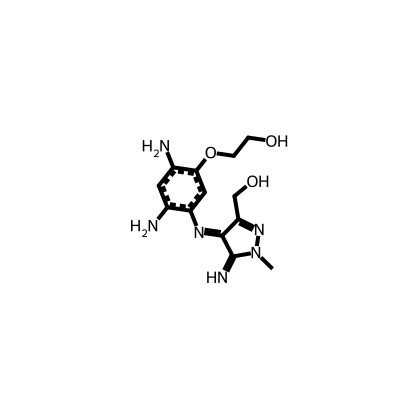 CN1N=C(CO)C(=Nc2cc(OCCO)c(N)cc2N)C1=N